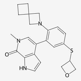 Cn1cc(-c2cc(SC3COC3)ccc2N2CC3(CCC3)C2)c2cc[nH]c2c1=O